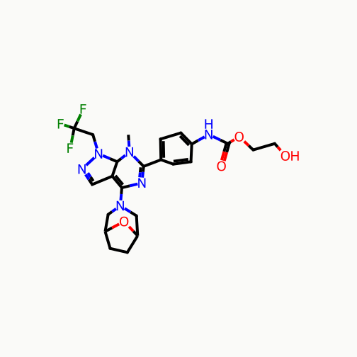 CN1C(c2ccc(NC(=O)OCCO)cc2)=NC(N2CC3CCC(C2)O3)=C2C=NN(CC(F)(F)F)C21